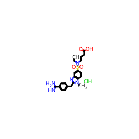 CCN(CCCC(=O)O)S(=O)(=O)c1ccc2c(c1)nc(Cc1ccc(C(=N)N)cc1)n2C.Cl